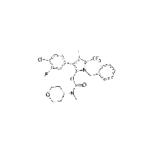 Cc1c(-c2ccc(Cl)c(F)c2)c(OC(=O)N(C)C2CCOCC2)n(Cc2ccccc2)c1C(F)(F)F